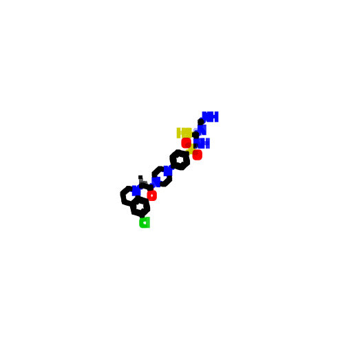 C[C@H](C(=O)N1CCN(c2ccc(S(=O)(=O)N/C(S)=N/C=N)cc2)CC1)N1CCCc2cc(Cl)ccc21